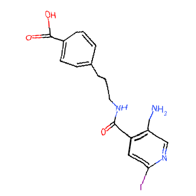 Nc1cnc(I)cc1C(=O)NCCc1ccc(C(=O)O)cc1